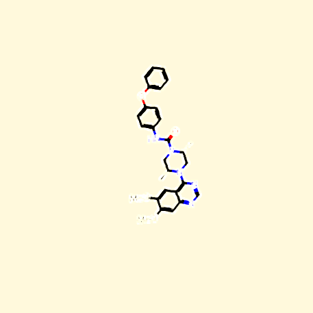 COc1cc2ncnc(N3C[C@@H](C)N(C(=O)Nc4ccc(Oc5ccccc5)cc4)C[C@@H]3C)c2cc1OC